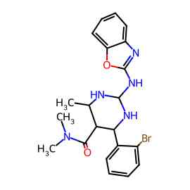 CC1NC(Nc2nc3ccccc3o2)NC(c2ccccc2Br)C1C(=O)N(C)C